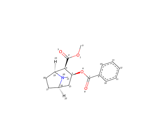 COC(=O)[C@H]1[C@@H](OC(=O)c2ccccc2)C[C@H]2CC[C@@H]1N2C